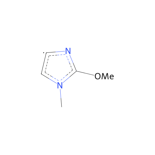 COc1n[c]cn1C